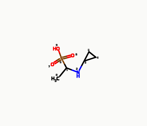 CC(NC1CC1)S(=O)(=O)O